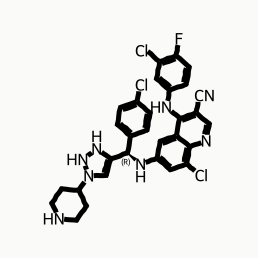 N#Cc1cnc2c(Cl)cc(N[C@@H](C3=CN(C4CCNCC4)NN3)c3ccc(Cl)cc3)cc2c1Nc1ccc(F)c(Cl)c1